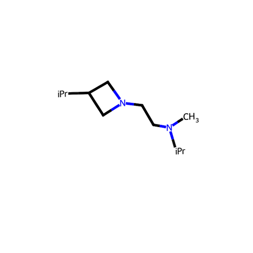 CC(C)C1CN(CCN(C)C(C)C)C1